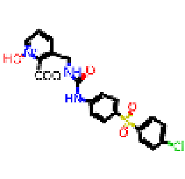 O=C(NCc1ccc[n+](O)c1C(=O)[O-])Nc1ccc(S(=O)(=O)c2ccc(Cl)cc2)cc1